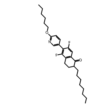 CCCCCCCCC1CCc2c(cc(F)c(-c3ccc(OCCCCCC)nc3)c2F)C1=O